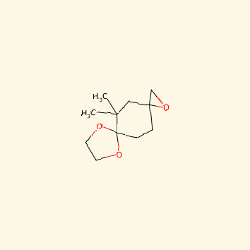 CC1(C)CC2(CCC13OCCO3)CO2